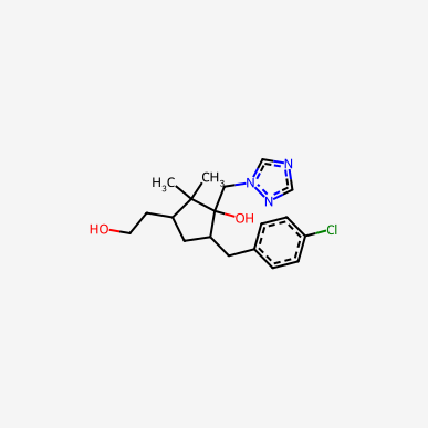 CC1(C)C(CCO)CC(Cc2ccc(Cl)cc2)C1(O)Cn1cncn1